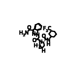 NC(=O)c1nn(CC(=O)N2[C@@H]3C[C@@H]3C[C@H]2C(=O)NC2CCC[C@H](C(F)(F)F)C2)c2ccccc12